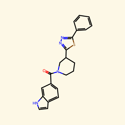 O=C(c1ccc2cc[nH]c2c1)N1CCCC(c2nnc(-c3ccccc3)s2)C1